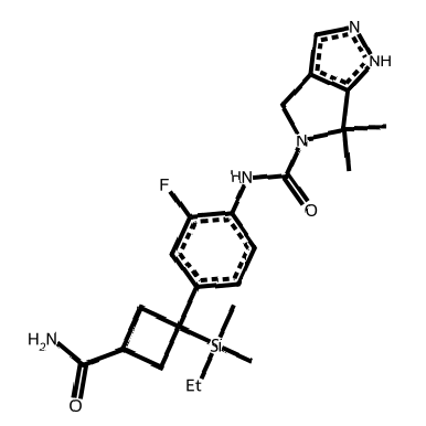 CC[Si](C)(C)C1(c2ccc(NC(=O)N3Cc4cn[nH]c4C3(C)C)c(F)c2)CC(C(N)=O)C1